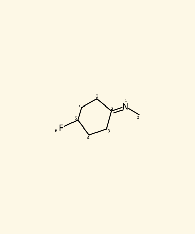 CN=C1CCC(F)CC1